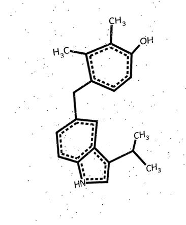 Cc1c(O)ccc(Cc2ccc3[nH]cc(C(C)C)c3c2)c1C